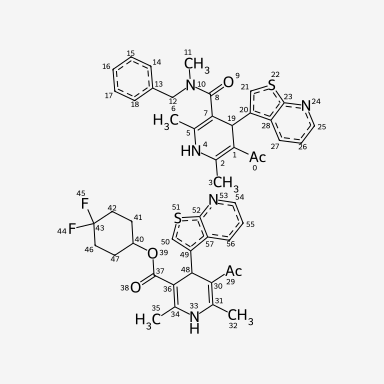 CC(=O)C1=C(C)NC(C)=C(C(=O)N(C)Cc2ccccc2)C1c1csc2ncccc12.CC(=O)C1=C(C)NC(C)=C(C(=O)OC2CCC(F)(F)CC2)C1c1csc2ncccc12